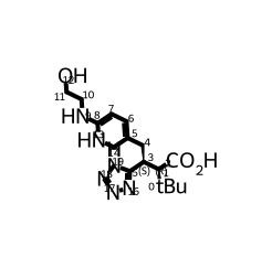 CC(C)(C)[C@H](C(=O)O)[C@H](CC1=CC=C(NCCO)NC1)c1nnn[nH]1